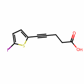 O=C(O)CCC#Cc1ccc(I)s1